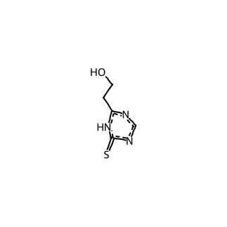 OCCc1ncnc(=S)[nH]1